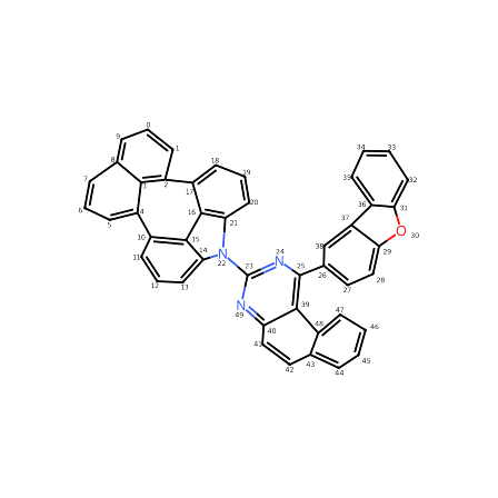 c1cc2c3c(cccc3c1)-c1cccc3c1c1c-2cccc1n3-c1nc(-c2ccc3oc4ccccc4c3c2)c2c(ccc3ccccc32)n1